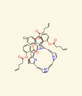 C=CCCC(=O)Oc1ccccc1-c1c(-c2ccccc2OC(=O)CCC=C)c2c(-c3ccccc3OC(=O)CCC=C)c3nc(cc4ccc(cc5nc(cc1n2-c1ccccc1OC(=O)CCC=C)C=C5)[nH]4)C=C3.[Cu]